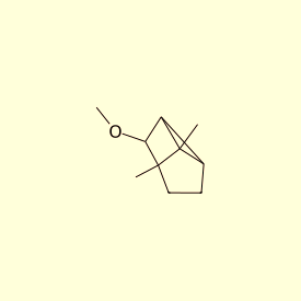 COC1C2C3CCC1(C)C32C